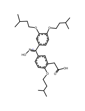 CC(C)CCOc1ccc(/C(=N\O)c2ccc(OCCC(C)C)c(OCCC(C)C)c2)cc1CC(=O)O